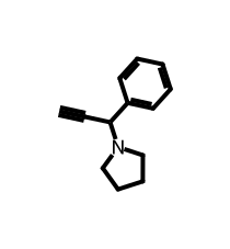 C#CC(c1ccccc1)N1CCCC1